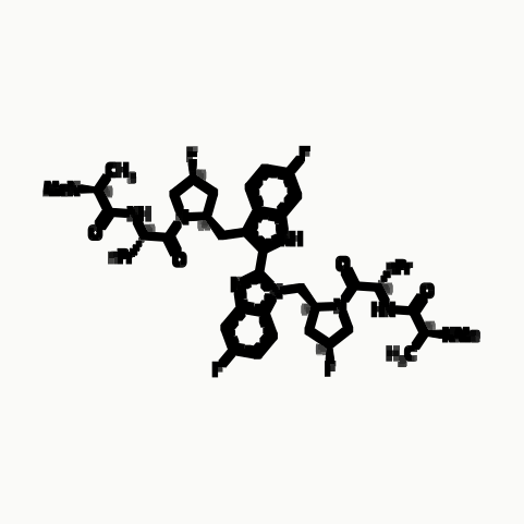 CCC[C@H](NC(=O)[C@H](C)NC)C(=O)N1C[C@@H](F)C[C@H]1Cc1c(-c2nc3cc(F)ccc3n2C[C@@H]2C[C@H](F)CN2C(=O)[C@H](CCC)NC(=O)[C@H](C)NC)[nH]c2cc(F)ccc12